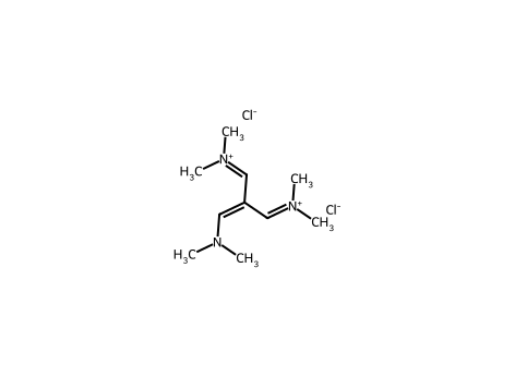 CN(C)C=C(C=[N+](C)C)C=[N+](C)C.[Cl-].[Cl-]